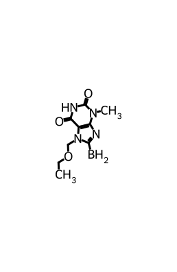 Bc1nc2c(c(=O)[nH]c(=O)n2C)n1COCC